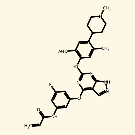 C=CC(=O)Nc1cc(F)cc(Oc2nc(Nc3cc(C)c(C4CCN(C)CC4)cc3OC)nc3[nH]ncc23)c1